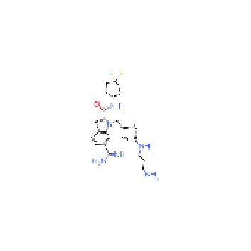 N=C(N)c1ccc2cc(C(=O)NC3CCC(F)(F)CC3)n(Cc3ccc(NCCCN)cc3)c2c1